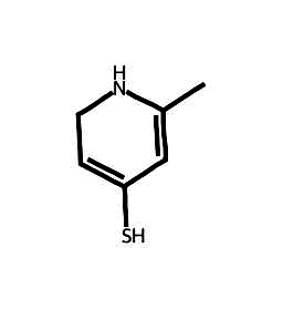 CC1=CC(S)=CCN1